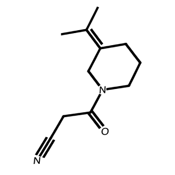 CC(C)=C1CCCN(C(=O)CC#N)C1